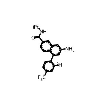 [2H]c1cc(C(F)(F)F)ccc1-c1cc(N)cc2cc(C(=O)NC(C)C)ccc12